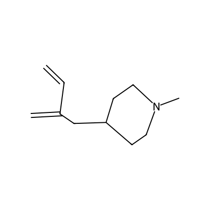 C=CC(=C)CC1CCN(C)CC1